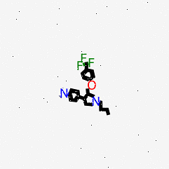 CCCCN1CCC(c2ccc(N(C)C)cc2)C(COc2ccc(C(F)(F)F)cc2)C1